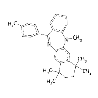 Cc1ccc(C2=Nc3cc4c(cc3N(C)c3ccccc32)C(C)(C)CCC4(C)C)cc1